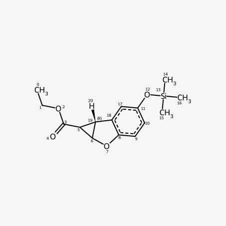 CCOC(=O)C1C2Oc3ccc(O[Si](C)(C)C)cc3[C@H]21